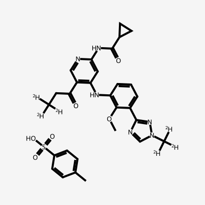 Cc1ccc(S(=O)(=O)O)cc1.[2H]C([2H])([2H])CC(=O)c1cnc(NC(=O)C2CC2)cc1Nc1cccc(-c2ncn(C([2H])([2H])[2H])n2)c1OC